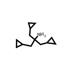 NC(CC1CC1)(CC1CC1)CC1CC1